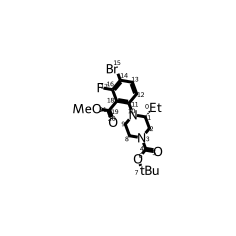 CC[C@@H]1CN(C(=O)OC(C)(C)C)CCN1c1ccc(Br)c(F)c1C(=O)OC